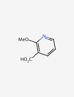 COc1ncc[c]c1C(=O)O